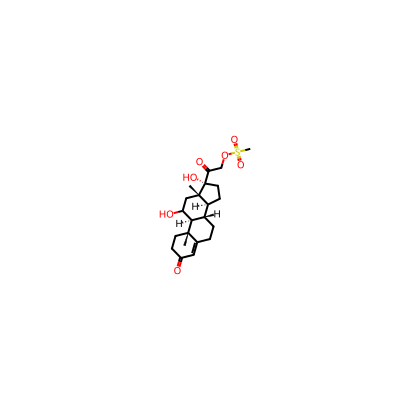 C[C@]12CCC(=O)C=C1CC[C@@H]1[C@@H]2C(O)C[C@@]2(C)[C@H]1CC[C@]2(O)C(=O)COS(C)(=O)=O